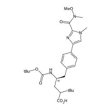 CON(C)C(=O)c1nc(-c2ccc(C[C@@H](CC(C(=O)O)C(C)(C)C)NC(=O)OC(C)(C)C)cc2)cn1C